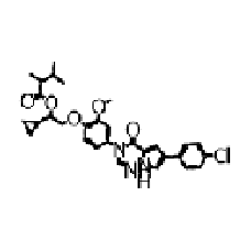 COc1cc(N(C=N)C(=O)c2cc(-c3ccc(Cl)cc3)c[nH]2)ccc1OCC(OC(=O)C(C)C(C)C)C1CC1